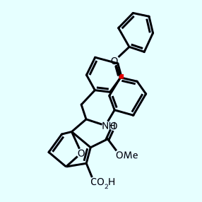 COC(=O)C1=C(C(=O)O)C2C=CC1(C(Cc1ccccc1)Nc1cccc(Oc3ccccc3)c1)O2